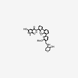 COc1nc(-c2cccc(-c3cccc(NC(=O)c4cc(O)nn(C)c4=O)c3Cl)c2Cl)ccc1CNC1CCOCC1O